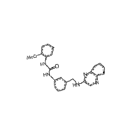 COc1ccccc1NC(=O)Nc1cccc(CNc2cnc3ccccc3n2)c1